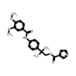 COc1ccc(C(=O)Nc2ccc(C(C)(C)COC(=O)c3ccsc3)cc2)cc1OC